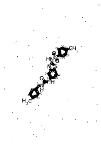 Cc1ccc(CNC(=O)Nc2ccc3sc(NS(=O)(=O)c4ccc(C)cc4)nc3c2)cc1